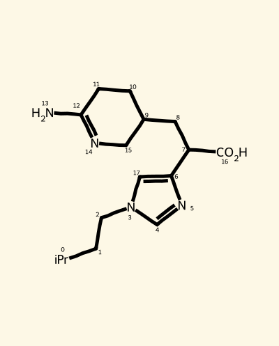 CC(C)CCn1cnc(C(CC2CCC(N)=NC2)C(=O)O)c1